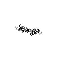 Cc1nc(NC(=O)CC[C@H]([AsH]C(=O)OC(C)(C)C)C(=O)O)sc1-c1ccc(Cl)c(S(C)(=O)=O)c1